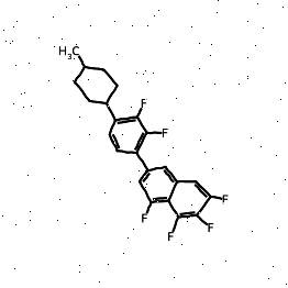 CC1CCC(c2ccc(-c3cc(F)c4c(F)c(F)c(F)cc4c3)c(F)c2F)CC1